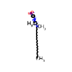 C=C(/C=C\C(=C/C)N(C)CCCCCCCCCCCCCCCCCCCCCC)/N=N/c1ccc([N+](=O)[O-])cc1